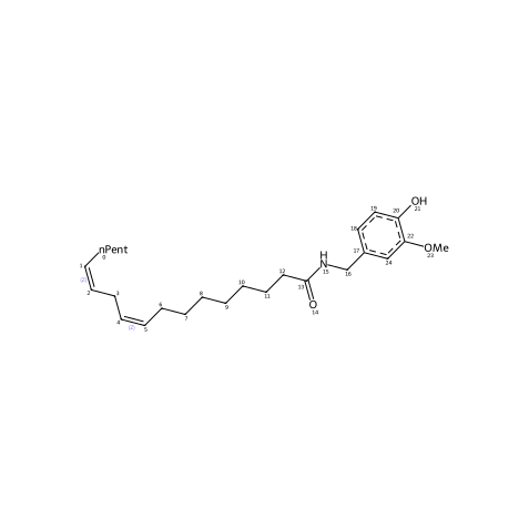 CCCCC/C=C\C/C=C\CCCCCCCC(=O)NCc1ccc(O)c(OC)c1